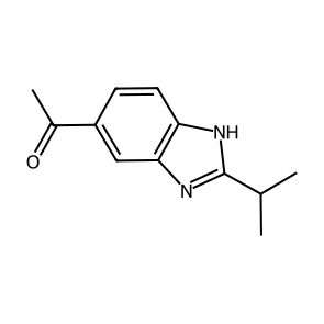 CC(=O)c1ccc2[nH]c(C(C)C)nc2c1